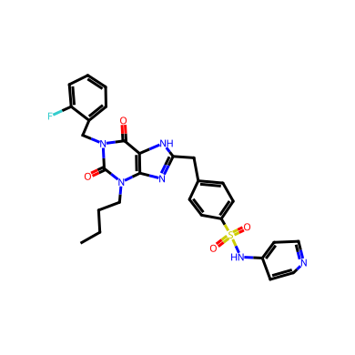 CCCCn1c(=O)n(Cc2ccccc2F)c(=O)c2[nH]c(Cc3ccc(S(=O)(=O)Nc4ccncc4)cc3)nc21